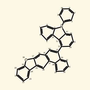 c1ccc(-n2c3ccccc3c3c(-c4cc5cc6oc7ccccc7c6cc5c5ccccc45)cccc32)cc1